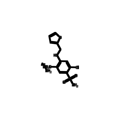 CC(N)=O.NS(=O)(=O)c1cc(C(=O)O)c(NCc2ccco2)cc1Cl